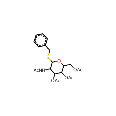 CC(=O)NC1C(SCc2ccccc2)OC(COC(C)=O)C(OC(C)=O)C1OC(C)=O